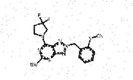 CC(C)(C)c1nc(N2CCC(F)(F)C2)c2nn(Cc3ccccc3SC#N)nc2n1